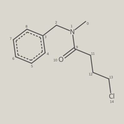 CN(Cc1ccccc1)C(=O)CCCCl